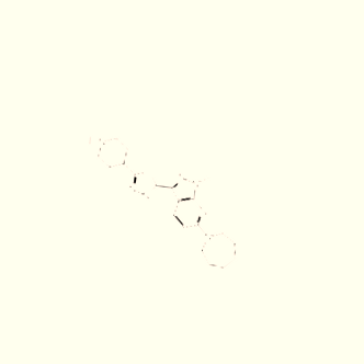 Cn1nc(C2NN=C(C3CCNCC3)O2)c2ccc(N3CCCCCC3)nc21